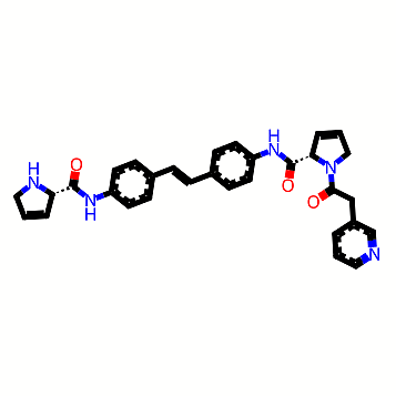 O=C(Nc1ccc(/C=C/c2ccc(NC(=O)[C@@H]3C=CCN3C(=O)Cc3cccnc3)cc2)cc1)[C@@H]1C=CCN1